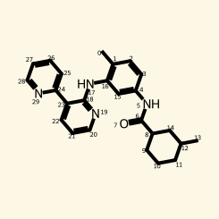 Cc1ccc(NC(=O)C2CCCC(C)C2)cc1Nc1ncccc1-c1ccccn1